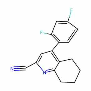 N#Cc1cc(-c2ccc(F)cc2F)c2c(n1)CCCC2